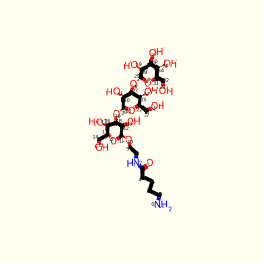 NCCCCC(=O)NCCO[C@H]1OC(CO)[C@@H](O)C(O[C@H]2OC(CO)[C@@H](O)C(O[C@H]3OC(CO)[C@@H](O)C(O)[C@H]3O)[C@H]2O)C1O